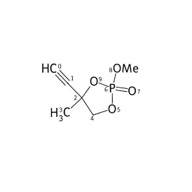 C#CC1(C)COP(=O)(OC)O1